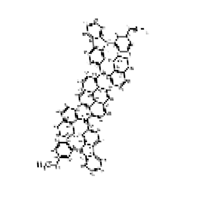 CCc1cccc(-n2c3ccccc3c3ccc(N(c4cccc5c4CCCC5)c4ccc5ccc6c(N(c7ccc8c9ccccc9n(-c9cccc(CC)c9)c8c7)c7cccc8c7CCCC8)ccc7ccc4c5c76)cc32)c1